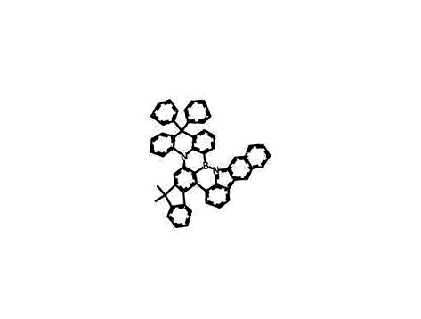 CC1(C)c2ccccc2-c2c1cc1c3c2-c2cccc4c5cc6ccccc6cc5n(c24)B3c2cccc3c2N1c1ccccc1C3(c1ccccc1)c1ccccc1